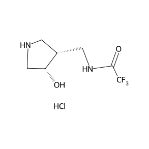 Cl.O=C(NC[C@H]1CNC[C@H]1O)C(F)(F)F